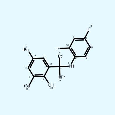 CCCC(CC)(Pc1ccc(F)cc1F)c1cc(C(C)(C)C)cc(C(C)(C)C)c1O